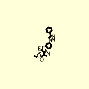 CCOC(=O)c1cnn(-c2ccc(-n3cc(-c4ccccc4)nn3)cc2)c1C(F)(F)F